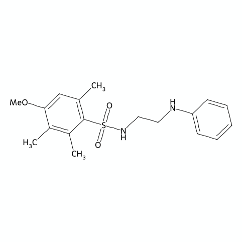 COc1cc(C)c(S(=O)(=O)NCCNc2ccccc2)c(C)c1C